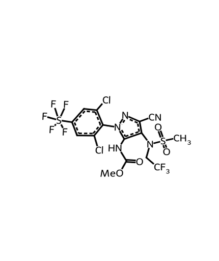 COC(=O)Nc1c(N(CC(F)(F)F)S(C)(=O)=O)c(C#N)nn1-c1c(Cl)cc(S(F)(F)(F)(F)F)cc1Cl